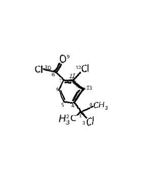 CC(C)(Cl)c1ccc(C(=O)Cl)c(Cl)c1